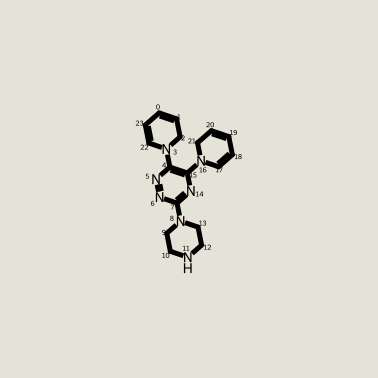 C1=CCN(c2nnc(N3CCNCC3)nc2N2C=CC=CC2)C=C1